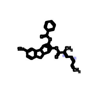 C=C/C=C\C=C(/C)C(=O)OC1C2CC(C1OC(=O)c1ccccc1)C1c3cc(C(C)(C)C)ccc3CC21